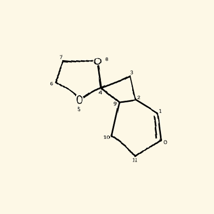 C1=CC2CC3(OCCO3)C2CC1